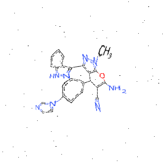 Cn1nc(-c2n[nH]c3ccccc23)c2c1OC(N)=C(C#N)C2c1ccc(-n2ccnc2)cc1